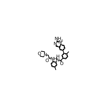 Cc1ccc(NC(=O)CN2CCOCC2)c(NC(=O)c2ccc(C)c(-c3ccc4nc(N)ncc4c3)c2)c1